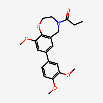 CCC(=O)N1CCOc2c(cc(-c3ccc(OC)c(OC)c3)cc2OC)C1